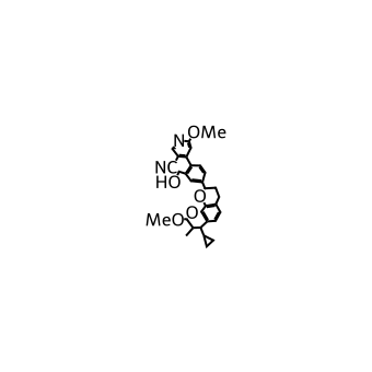 COC(=O)C(C)C(c1ccc2c(c1)OC(c1ccc(-c3cc(OC)ncc3C#N)c(CO)c1)CC2)C1CC1